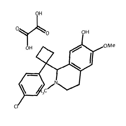 COc1cc2c(cc1O)C(C1(c3ccc(Cl)cc3)CCC1)N(C)CC2.O=C(O)C(=O)O